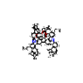 N#Cc1cc2c(c3c1C1CC4CC5CC3C45C1)c1c3c(cc4c5c6c(ccc5n2c41)C1CC2CC4CC6C24C1)-c1cc2c4c5c(c(C#N)cc4n4c6ccc7c(c6c(c1C31c3ccccc3Oc3ccccc31)c24)C1CC2CC(C1)C7C2)C1CC2CC3CC5CC321